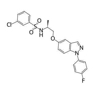 C[C@@H](COc1ccc2c(cnn2-c2ccc(F)cc2)c1)NS(=O)(=O)c1cccc(Cl)c1